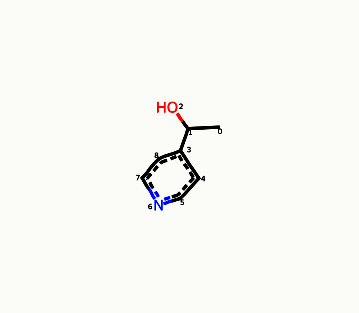 CC(O)c1ccncc1